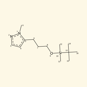 Cn1nccc1CCCO[Si](C)(C)C(C)(C)C